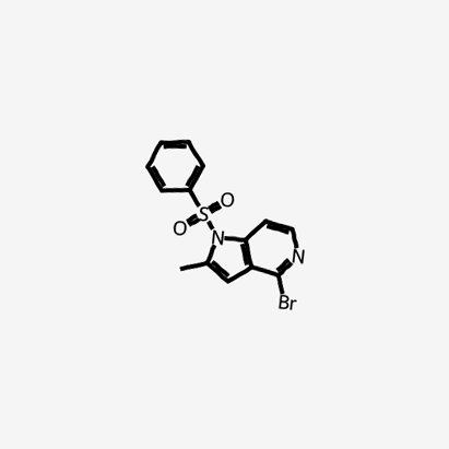 Cc1cc2c(Br)nccc2n1S(=O)(=O)c1ccccc1